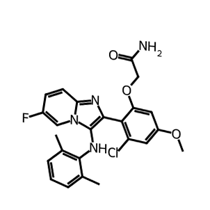 COc1cc(Cl)c(-c2nc3ccc(F)cn3c2Nc2c(C)cccc2C)c(OCC(N)=O)c1